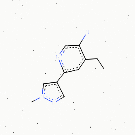 CCc1cc(-c2cnn(C)c2)ncc1N